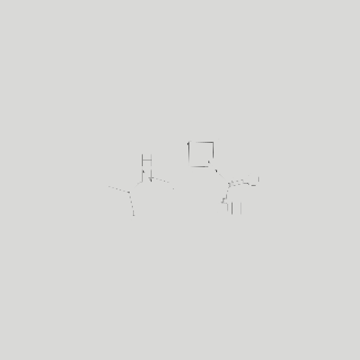 CC(C)NC[C@@H]1CCN1C(=O)O